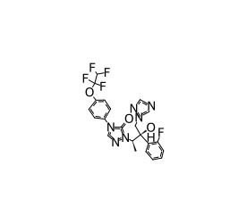 C[C@@H](n1ncn(-c2ccc(OC(F)(F)C(F)F)cc2)c1=O)[C@](O)(Cn1cncn1)c1ccccc1F